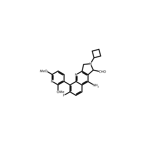 COc1ccc(-c2c(F)ccc3c(N)c4c(nc23)CN(C2CCC2)C4C=O)c(OC)n1